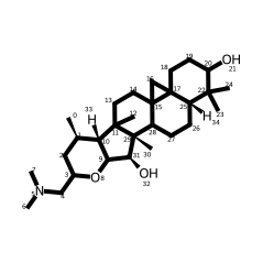 C[C@@H]1CC(CN(C)C)OC2[C@H]1C1(C)CCC34CC35CCC(O)C(C)(C)[C@@H]5CCC4[C@]1(C)[C@H]2O